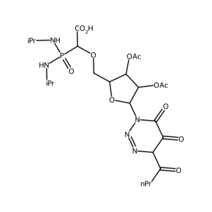 CCCC(=O)C1N=NN(C2OC(COC(C(=O)O)P(=O)(NC(C)C)NC(C)C)C(OC(C)=O)C2OC(C)=O)C(=O)C1=O